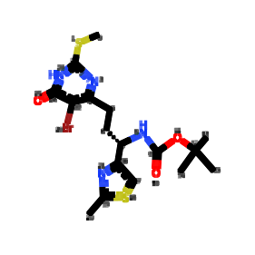 CSc1nc(CC[C@H](NC(=O)OC(C)(C)C)c2csc(C)n2)c(Br)c(=O)[nH]1